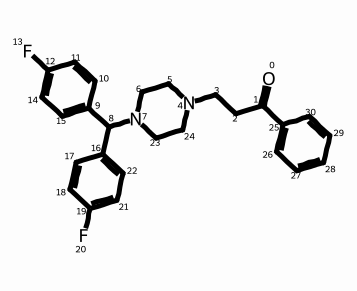 O=C(CCN1CCN(C(c2ccc(F)cc2)c2ccc(F)cc2)CC1)c1ccccc1